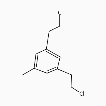 Cc1cc(CCCl)cc(CCCl)c1